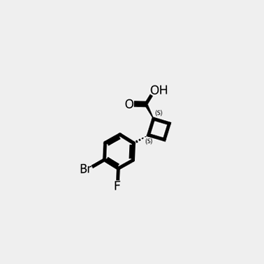 O=C(O)[C@H]1CC[C@@H]1c1ccc(Br)c(F)c1